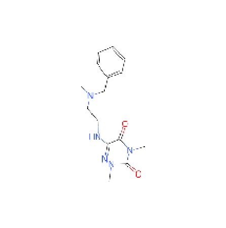 CN(CCNc1nn(C)c(=O)n(C)c1=O)Cc1ccccc1